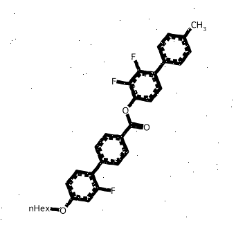 CCCCCCOc1ccc(-c2ccc(C(=O)Oc3ccc(-c4ccc(C)cc4)c(F)c3F)cc2)c(F)c1